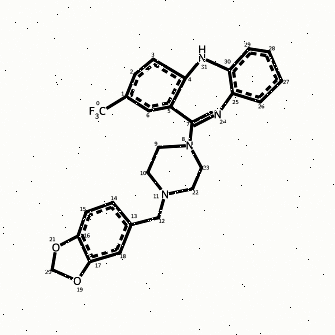 FC(F)(F)c1ccc2c(c1)C(N1CCN(Cc3ccc4c(c3)OCO4)CC1)=Nc1ccccc1N2